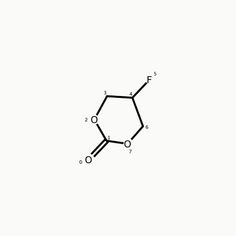 O=C1OCC(F)CO1